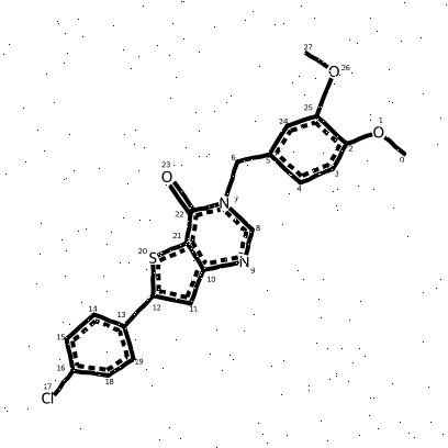 COc1ccc(Cn2cnc3cc(-c4ccc(Cl)cc4)sc3c2=O)cc1OC